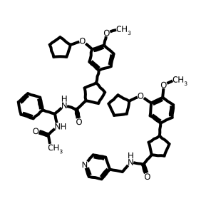 COc1ccc(C2CCC(C(=O)NC(NC(C)=O)c3ccccc3)C2)cc1OC1CCCC1.COc1ccc(C2CCC(C(=O)NCc3ccncc3)C2)cc1OC1CCCC1